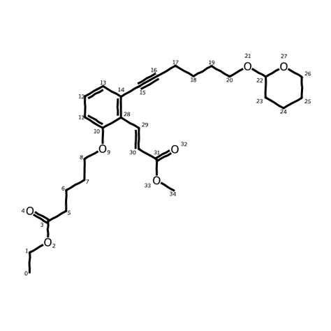 CCOC(=O)CCCCOc1cccc(C#CCCCCOC2CCCCO2)c1C=CC(=O)OC